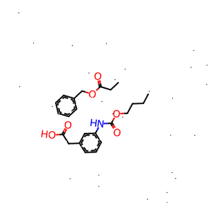 CCC(=O)OCc1ccccc1.CCCCOC(=O)Nc1cccc(CC(=O)O)c1